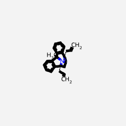 C=CC[C@]12CC3[C@]4(CC=C)c5ccccc5C(C)(c5ccccc51)[N+]324